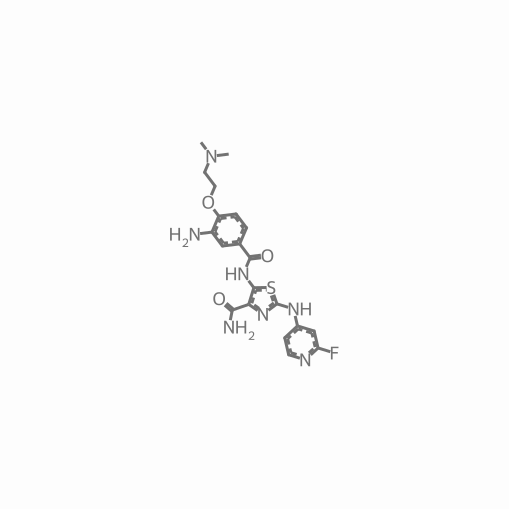 CN(C)CCOc1ccc(C(=O)Nc2sc(Nc3ccnc(F)c3)nc2C(N)=O)cc1N